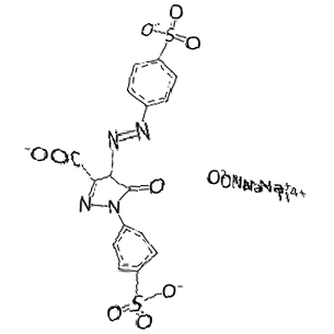 O=C([O-])C1=NN(c2ccc(S(=O)(=O)[O-])cc2)C(=O)C1N=Nc1ccc(S(=O)(=O)[O-])cc1.[Na+].[Na+].[Na+].[O-2].[O-2].[Ti+4]